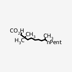 CCCCCC(C)CCCCCC(C)(C)CC(=O)O